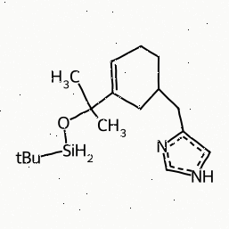 CC(C)(C)[SiH2]OC(C)(C)C1=CCCC(Cc2c[nH]cn2)C1